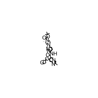 Cc1cn2cc(C(=O)Nc3ccc(N4CCN(C(=O)OC(C)(C)C)[C@@H](C)C4)nn3)c(OC3CCOC3)cc2n1